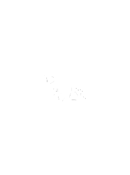 Nc1n[nH]c2cc(-c3ccc(C(=O)NCc4cccc(O)c4)o3)ccc12